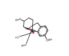 COc1ccc2c(c1)C1(N=C(SC)N(C)C1=O)C1(CCC(OC)CC1)C2